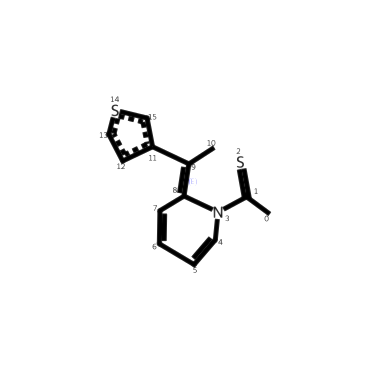 CC(=S)N1C=CC=C/C1=C(/C)c1ccsc1